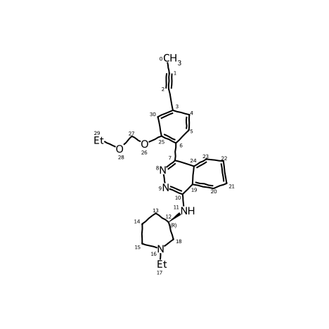 CC#Cc1ccc(-c2nnc(N[C@@H]3CCCN(CC)C3)c3ccccc23)c(OCOCC)c1